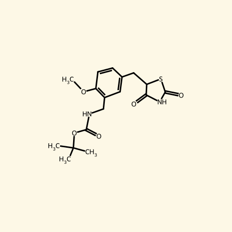 COc1ccc(CC2SC(=O)NC2=O)cc1CNC(=O)OC(C)(C)C